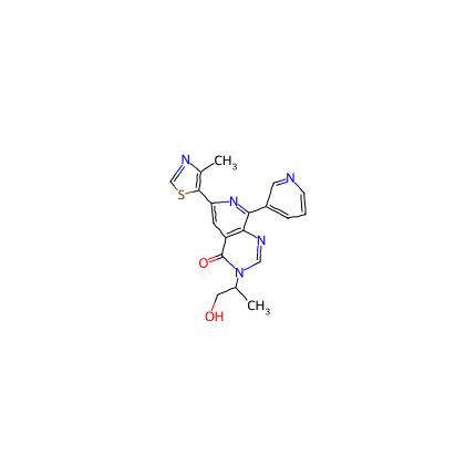 Cc1ncsc1-c1cc2c(=O)n(C(C)CO)cnc2c(-c2cccnc2)n1